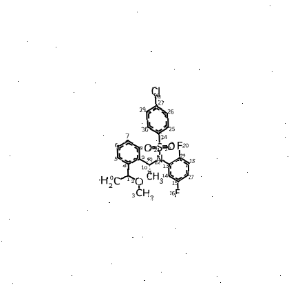 [CH2]C(OC)c1ccccc1[C@@H](C)N(c1cc(F)ccc1F)S(=O)(=O)c1ccc(Cl)cc1